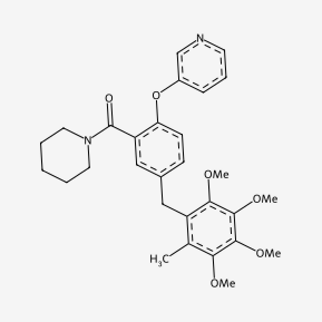 COc1c(C)c(Cc2ccc(Oc3cccnc3)c(C(=O)N3CCCCC3)c2)c(OC)c(OC)c1OC